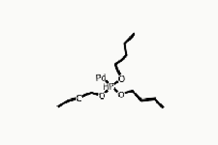 CCCCO[PH]([Pd])(OCCCC)OCCCC